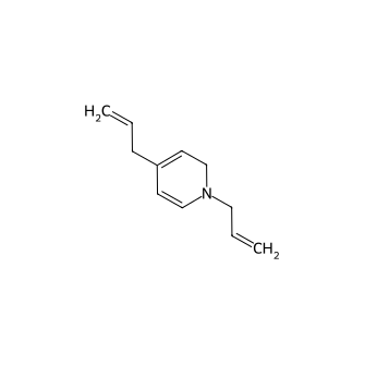 C=CCC1=CCN(CC=C)C=C1